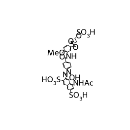 COc1ccc(S(=O)(=O)CCOS(=O)(=O)O)cc1NC(=O)c1ccc(/N=N/c2c(S(=O)(=O)O)cc3cc(S(=O)(=O)O)cc(NC(C)=O)c3c2O)cc1